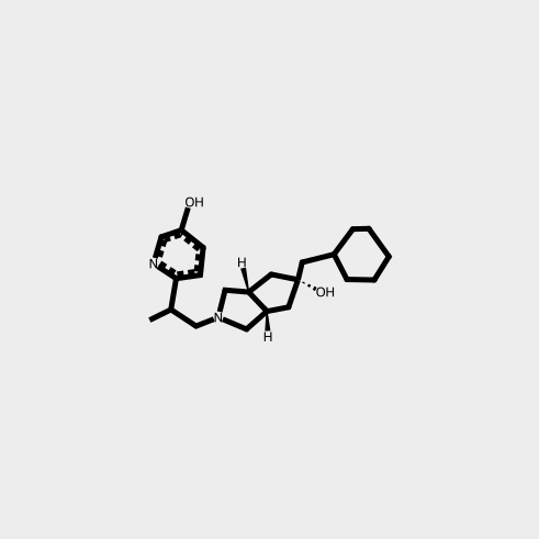 CC(CN1C[C@@H]2C[C@@](O)(CC3CCCCC3)C[C@@H]2C1)c1ccc(O)cn1